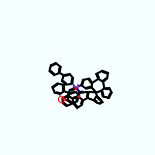 c1ccc(-c2ccc(N(c3ccc4c(c3)C3(c5ccccc5-c5ccccc5-4)c4ccccc4-c4c3cc3ccc5cccc6ccc4c3c56)c3cccc4oc5ccccc5c34)cc2)cc1